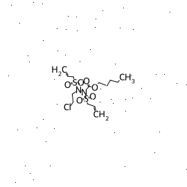 C=CCS(=O)(=O)N(CCCl)N(C(=O)OCCCCC)S(=O)(=O)CC=C